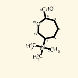 C[N+](C)(C)C1CCCC(C=O)OC1